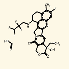 CC[C@@]1(O)C(=O)OCc2c1cc1n(c2=O)Cc2c-1nc1cc(F)c(C)c3c1c2[C@@H](NCC(F)(F)C(F)F)CC3.O=CO